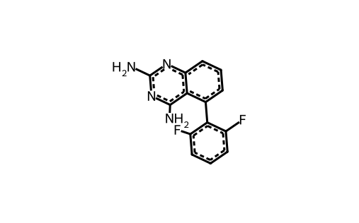 Nc1nc(N)c2c(-c3c(F)cccc3F)cccc2n1